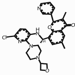 Cc1cc([C@@H](C)Nc2ccc(Cl)nc2N2CCN(C3COC3)CC2)c2oc(-c3cccnc3)c(C)c(=O)c2c1